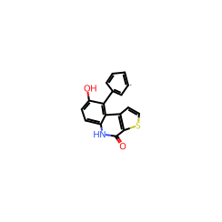 O=c1[nH]c2ccc(O)c(-c3c[c]ccc3)c2c2ccsc12